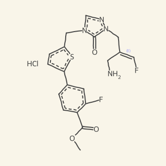 COC(=O)c1ccc(-c2ccc(Cn3cnn(C/C(=C/F)CN)c3=O)s2)cc1F.Cl